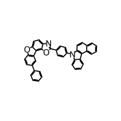 c1ccc(-c2ccc3oc4ccc5nc(-c6ccc(-n7c8ccccc8c8c9ccccc9ccc87)cc6)oc5c4c3c2)cc1